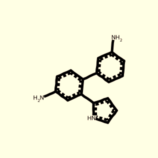 Nc1cccc(-c2ccc(N)cc2-c2ccc[nH]2)c1